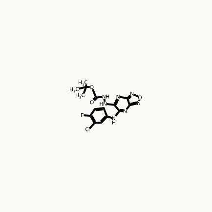 CC(C)(C)OC(=O)NNc1nc2nonc2nc1Nc1ccc(F)c(Cl)c1